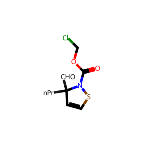 CCCC1(C=O)C=CSN1C(=O)OCCl